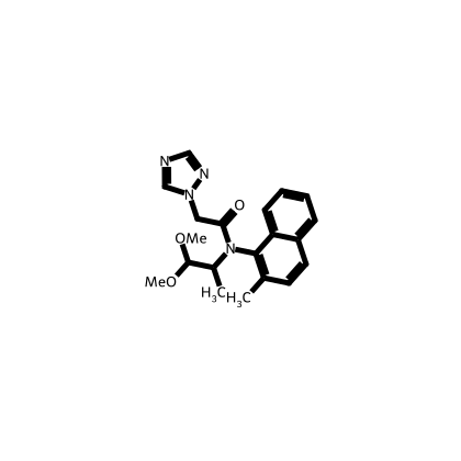 COC(OC)C(C)N(C(=O)Cn1cncn1)c1c(C)ccc2ccccc12